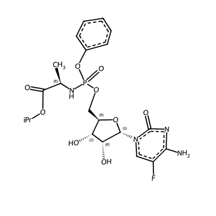 CC(C)OC(=O)[C@@H](C)NP(=O)(OC[C@H]1O[C@H](n2cc(F)c(N)nc2=O)[C@H](O)[C@@H]1O)Oc1ccccc1